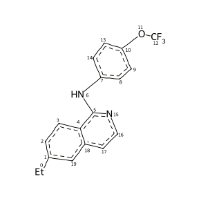 CCc1ccc2c(Nc3ccc(OC(F)(F)F)cc3)nccc2c1